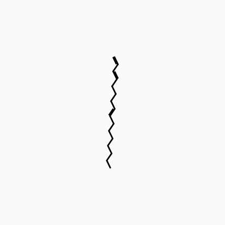 C=CC=CCCCC=CCCCCCCC